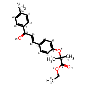 CCOC(=O)C(C)(C)Oc1ccc(C=CC(=O)c2ccc(C)cc2)cc1